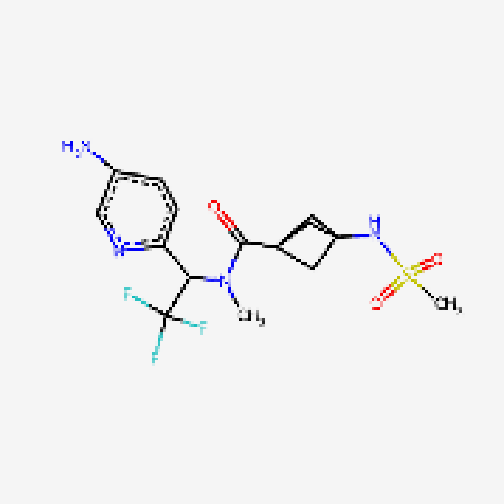 CN(C(=O)C12CC(NS(C)(=O)=O)(C1)C2)C(c1ccc(N)cn1)C(F)(F)F